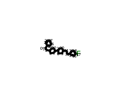 C[C@@H](CC1CCC(C2CCC(CCc3ccc(F)cc3)CC2)CC1)c1ccccc1